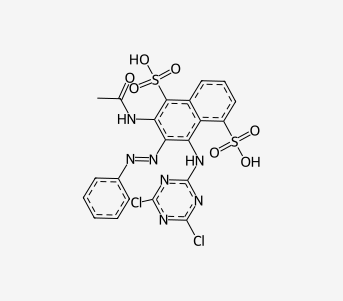 CC(=O)Nc1c(N=Nc2ccccc2)c(Nc2nc(Cl)nc(Cl)n2)c2c(S(=O)(=O)O)cccc2c1S(=O)(=O)O